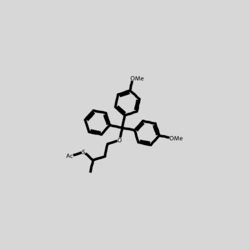 COc1ccc(C(OCCC(C)SC(C)=O)(c2ccccc2)c2ccc(OC)cc2)cc1